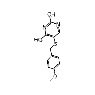 COc1ccc(CSc2cnc(O)nc2O)cc1